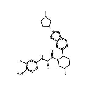 CCc1cc(NC(=O)C(=O)N2C[C@@H](C)CC[C@@H]2c2ccc3cn([C@@H]4CCN(C)C4)nc3c2)cnc1N